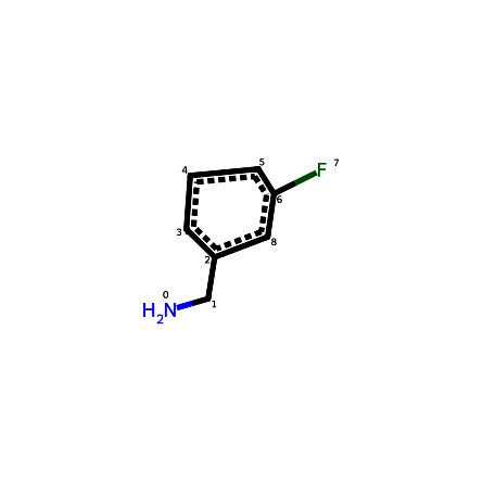 NCc1[c]ccc(F)c1